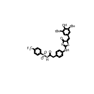 CC(C)(C)c1cc(C=C2SC(Nc3ccc(CC(=O)NS(=O)(=O)c4ccc(C(F)(F)F)cc4)cc3)=NC2=O)cc(C(C)(C)C)c1O